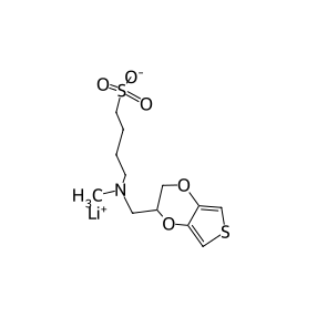 CN(CCCCS(=O)(=O)[O-])CC1COc2cscc2O1.[Li+]